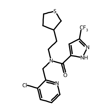 O=C(c1cc(C(F)(F)F)n[nH]1)N(CCC1CCSC1)Cc1ncccc1Cl